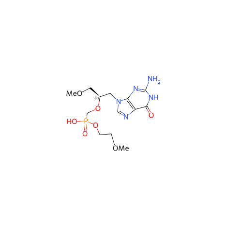 COCCOP(=O)(O)CO[C@@H](COC)Cn1cnc2c(=O)[nH]c(N)nc21